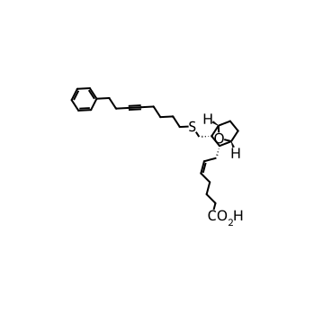 O=C(O)CCC/C=C\C[C@@H]1[C@H](CSCCCCC#CCCc2ccccc2)[C@@H]2CC[C@H]1O2